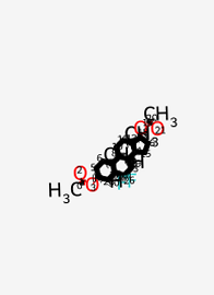 CC(=O)O[C@@H]1CC[C@]2(C)C3CC[C@@]4(C)C(CC[C@@H]4OC(C)=O)[C@@H]3CC(F)(F)[C@H]2C1